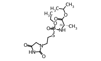 CCO[P@](=O)(N[C@@H](C)C(=O)OC(C)C)SCCN1CC(=O)NC1=O